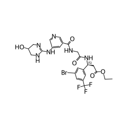 CCOC(=O)C[C@H](NC(=O)CNC(=O)c1cncc(NC2=NCC(O)CN2)c1)c1cc(Br)cc(C(F)(F)F)c1